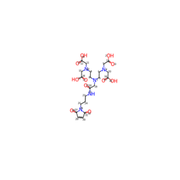 O=C(O)CN(CCN(CCN(CC(=O)O)CC(=O)O)CC(=O)NCCCN1C(=O)C=CC1=O)CC(=O)O